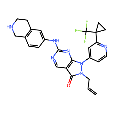 C=CCn1c(=O)c2cnc(Nc3ccc4c(c3)CCNC4)nc2n1-c1ccnc(C2(C(F)(F)F)CC2)c1